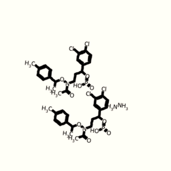 CC(=O)N(CCC(O[PH](=O)O)c1ccc(Cl)c(Cl)c1)OC(C)c1ccc(C)cc1.CC(=O)N(CCC(O[PH](=O)O)c1ccc(Cl)c(Cl)c1)OC(C)c1ccc(C)cc1.N.N